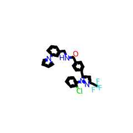 O=C(NCc1cccc(-n2cccc2)c1)c1ccc(-c2cc(C(F)(F)F)nn2-c2ccccc2Cl)cc1